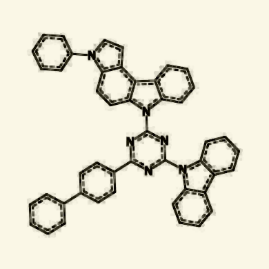 c1ccc(-c2ccc(-c3nc(-n4c5ccccc5c5ccccc54)nc(-n4c5ccccc5c5c6ccn(-c7ccccc7)c6ccc54)n3)cc2)cc1